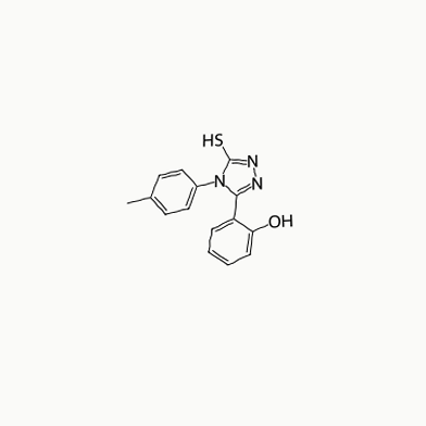 Cc1ccc(-n2c(S)nnc2-c2ccccc2O)cc1